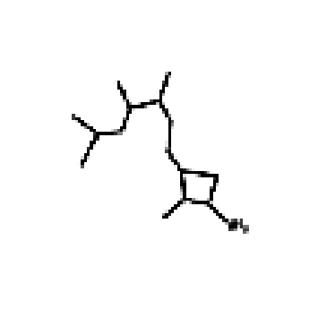 CC(C)CC(C)C(C)CCC1CC(N)C1C